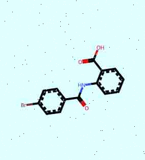 O=C(Nc1ccccc1C(=O)O)c1ccc(Br)cc1